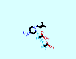 CC(C)=CCN1CCC(N)CC1.O=C(O)C(F)(F)F.O=C(O)C(F)(F)F